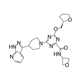 O=C(NC1COC1)c1nc(OC[C@H]2CCCO2)nc(N2CCC(c3n[nH]c4ncccc34)CC2)n1